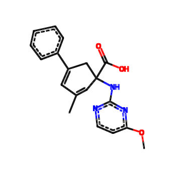 COc1ccnc(NC2(C(=O)O)C=C(C)C=C(c3ccccc3)C2)n1